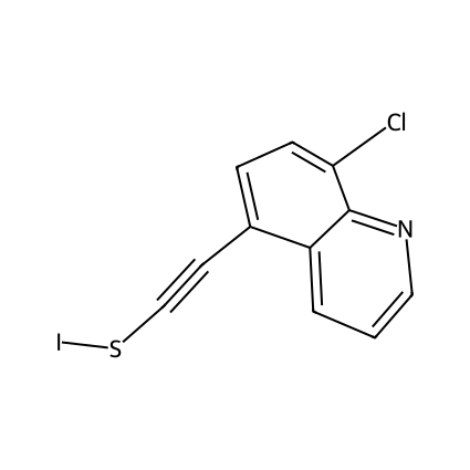 Clc1ccc(C#CSI)c2cccnc12